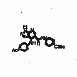 CCn1ncc2c(NC3CCN(C(C)=O)CC3)c(C(=O)Nc3ccc(OC)cc3)cnc21